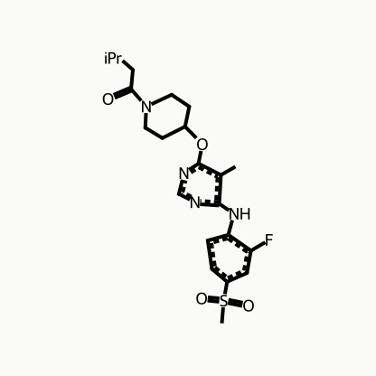 Cc1c(Nc2ccc(S(C)(=O)=O)cc2F)ncnc1OC1CCN(C(=O)CC(C)C)CC1